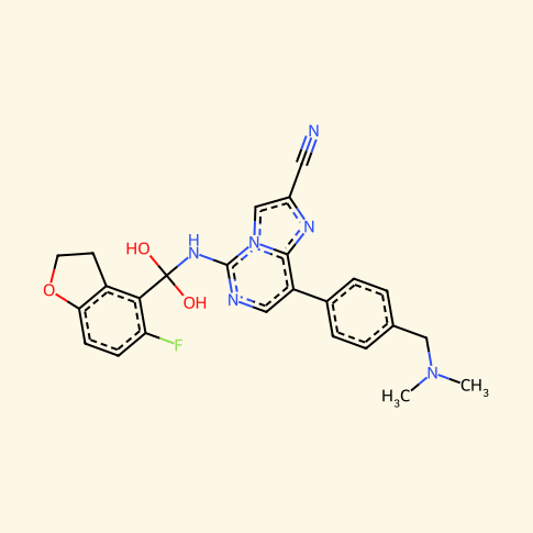 CN(C)Cc1ccc(-c2cnc(NC(O)(O)c3c(F)ccc4c3CCO4)n3cc(C#N)nc23)cc1